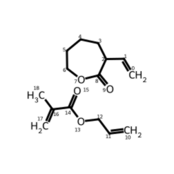 C=CC1CCCCOC1=O.C=CCOC(=O)C(=C)C